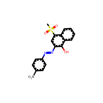 CS(=O)(=O)c1cc(/N=N/c2ccc([N+](=O)[O-])cc2)c(O)c2ccccc12